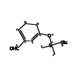 CC(C)(C)[Si](C)(C)OC1=CC(C=O)=CCC1